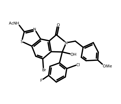 COc1ccc(CN2C(=O)c3c(c(Br)cc4sc(NC(C)=O)nc34)C2(O)c2cc(F)ccc2Cl)cc1